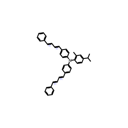 Cc1cc(C(C)C)ccc1N(c1ccc(/C=C/C=C/c2ccccc2)cc1)c1ccc(/C=C/C=C/c2ccccc2)cc1